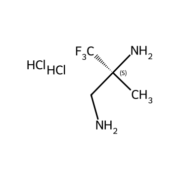 C[C@](N)(CN)C(F)(F)F.Cl.Cl